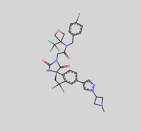 CN1CC(n2cc(-c3ccc4c(c3)C(F)(F)C[C@]43NC(=O)N(CC(=O)N(Cc4ccc(F)cc4)C4(C(F)(F)F)COC4)C3=O)cn2)C1